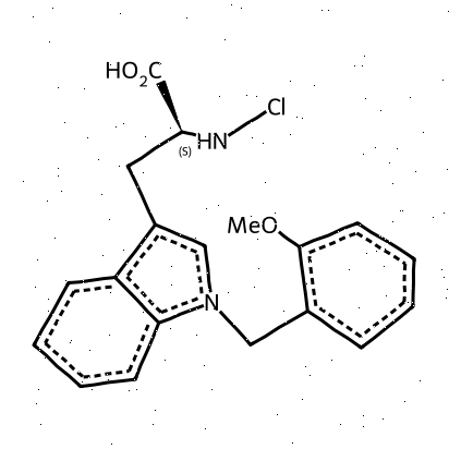 COc1ccccc1Cn1cc(C[C@H](NCl)C(=O)O)c2ccccc21